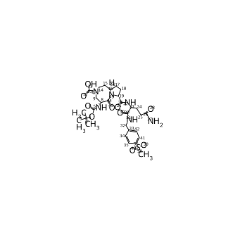 CC(C)(C)OC(=O)N[C@H]1CN(C(=O)O)CC[C@H]2CC[C@@H](C(=O)NC(CCC(N)=O)C(=O)NCc3ccc(S(C)(=O)=O)cc3)N2C1=O